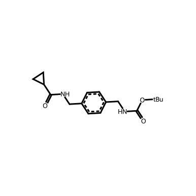 CC(C)(C)OC(=O)NCc1ccc(CNC(=O)C2CC2)cc1